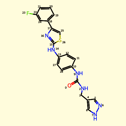 O=C(NCc1cn[nH]c1)Nc1ccc(Nc2nc(-c3cccc(F)c3)cs2)cc1